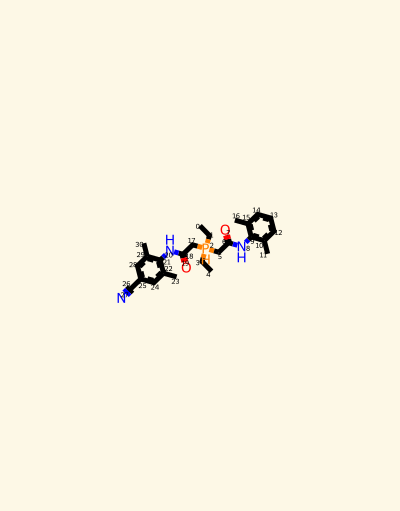 CC[PH](CC)(CC(=O)Nc1c(C)cccc1C)CC(=O)Nc1c(C)cc(C#N)cc1C